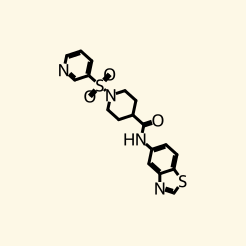 O=C(Nc1ccc2scnc2c1)C1CCN(S(=O)(=O)c2cccnc2)CC1